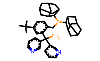 CC(C)(C)c1ccc(CP(C2C3CC4CC(C3)CC2C4)C2C3CC4CC(C3)CC2C4)c(C(P)(c2cccnc2)c2cccnc2)c1